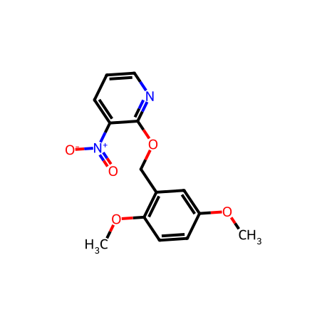 COc1ccc(OC)c(COc2ncccc2[N+](=O)[O-])c1